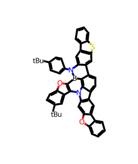 CC(C)(C)c1ccc(N2B3c4oc5ccc(C(C)(C)C)cc5c4-n4c5cc6oc7ccccc7c6cc5c5ccc(c3c54)-c3cc4sc5ccccc5c4cc32)cc1